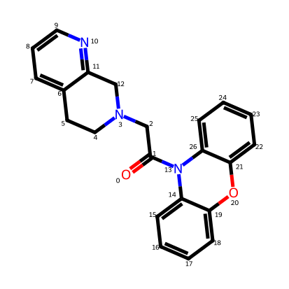 O=C(CN1CCc2cccnc2C1)N1c2ccccc2Oc2ccccc21